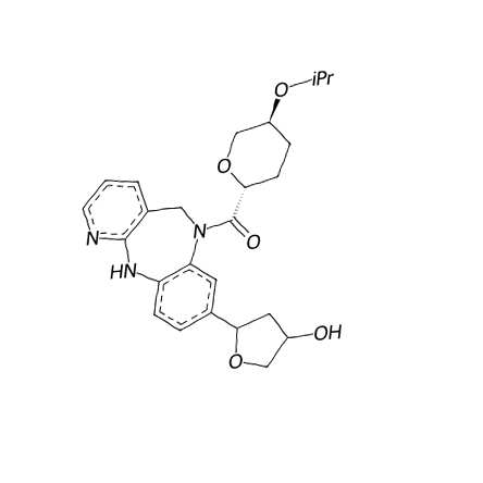 CC(C)O[C@H]1CC[C@H](C(=O)N2Cc3cccnc3Nc3ccc(C4CC(O)CO4)cc32)OC1